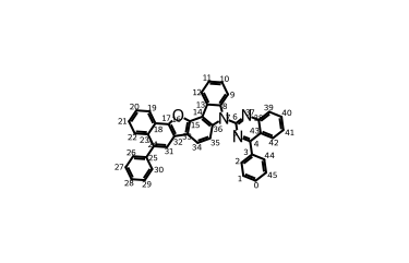 c1ccc(-c2nc(-n3c4ccccc4c4c5oc6c7ccccc7c(-c7ccccc7)cc6c5ccc43)nc3ccccc23)cc1